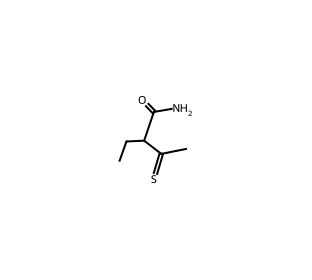 CCC(C(N)=O)C(C)=S